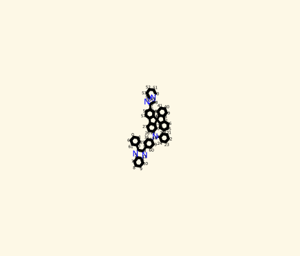 c1ccc(-c2nc3ccccc3nc2-c2ccc(N(c3ccccc3)c3ccc4c(c3)C3(c5ccccc5-c5ccccc53)c3cc(-c5cn6ccccc6n5)ccc3-4)cc2)cc1